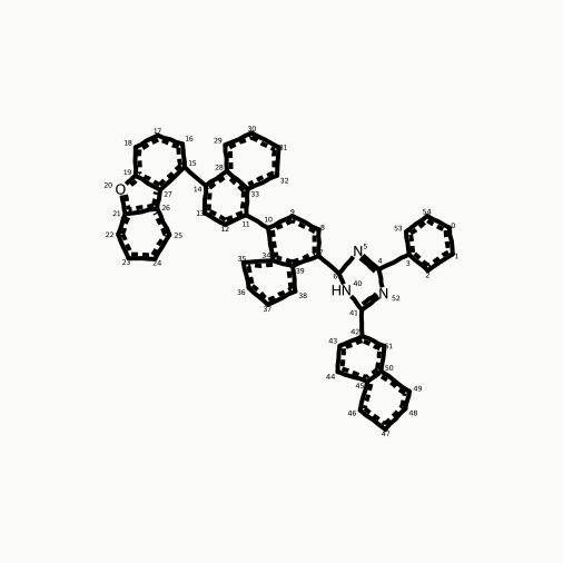 c1ccc(C2=NC(c3ccc(-c4ccc(-c5cccc6oc7ccccc7c56)c5ccccc45)c4ccccc34)NC(c3ccc4ccccc4c3)=N2)cc1